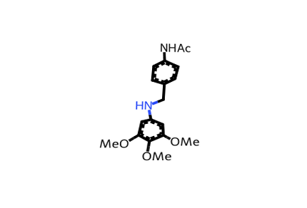 COc1cc(NCc2ccc(NC(C)=O)cc2)cc(OC)c1OC